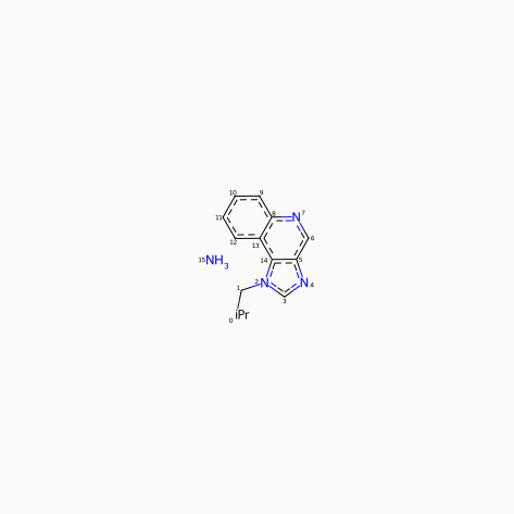 CC(C)Cn1cnc2cnc3ccccc3c21.N